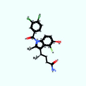 Cc1c([C@@H](C)CCC(N)=O)c2c(F)c(O)ccc2n1C(=O)c1ccc(Cl)c(Cl)c1